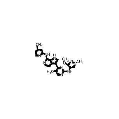 COc1nn(C)cc1Nc1ncc(C)c(-c2c[nH]c3c(Nc4cc(C)ccn4)nccc23)n1